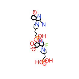 COc1cc2c(N3CCC(CCP(=O)(O)O)CC3)c(F)cnc2c(OP(=O)(O)CCCC2CCN(c3c(C#N)cnc4c(OC)cccc34)CC2)c1OC